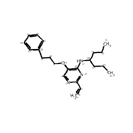 C=Cc1ncc(OCCCc2ccccc2)c(NC(CCC)CCC)n1